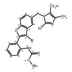 CCc1nc(C)c(C(=O)O)n1Cc1ccc2oc(-c3ccccc3NC(=O)OC(C)(C)C)c(Br)c2c1